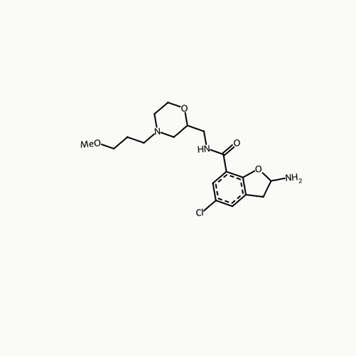 COCCCN1CCOC(CNC(=O)c2cc(Cl)cc3c2OC(N)C3)C1